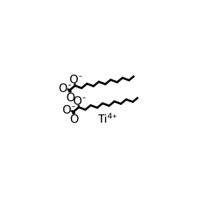 CCCCCCCCCCC([O-])C(=O)[O-].CCCCCCCCCCC([O-])C(=O)[O-].[Ti+4]